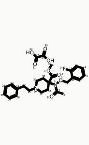 COC(=O)C1(N(OCc2ccccc2F)C(C)=O)CCN(CCc2ccccc2)CC1.O=C(O)C(=O)O